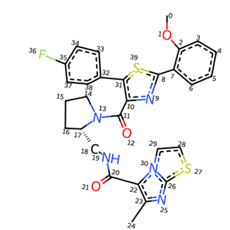 COc1ccccc1-c1nc(C(=O)N2CCC[C@H]2CNC(=O)c2c(C)nc3sccn23)c(-c2ccc(F)cc2)s1